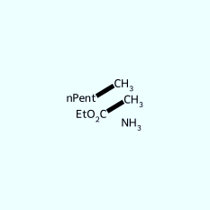 CCCCCC.CCOC(C)=O.N